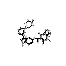 CC1=C(C(=O)Nc2ccc3[nH]nc(-c4cc(N5CCN(C)CC5)ncn4)c3c2)[C@@H](C)n2nnnc2N1C